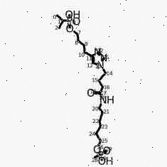 CC(C)P(=O)(O)OCCCCc1cn(CCCC(=O)NCCCCCCOP(C)(=O)O)nn1